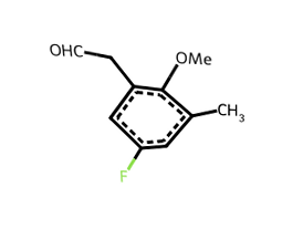 COc1c(C)cc(F)cc1CC=O